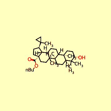 CCCCOC(=O)[C@]12CC[C@@H](C3(C)CC3)[C@@H]1[C@H]1CC[C@@H]3[C@@]4(C)CC[C@H](O)C(C)(C)[C@@H]4CC[C@@]3(C)[C@]1(C)CC2